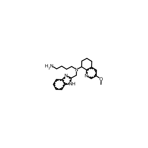 COc1cnc2c(c1)CCCC2N(CCCCN)Cc1nc2ccccc2[nH]1